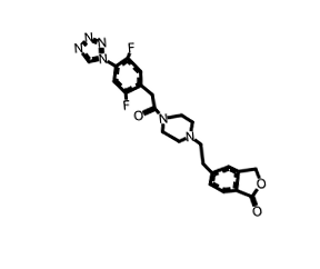 O=C1OCc2cc(CCN3CCN(C(=O)Cc4cc(F)c(-n5cnnn5)cc4F)CC3)ccc21